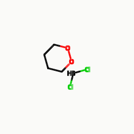 C1CCOOC1.ClBCl